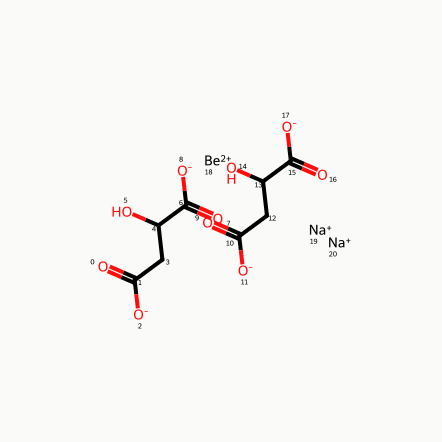 O=C([O-])CC(O)C(=O)[O-].O=C([O-])CC(O)C(=O)[O-].[Be+2].[Na+].[Na+]